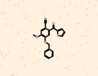 COc1cc(C#N)c(C(=O)c2cccs2)cc1OCc1ccccc1